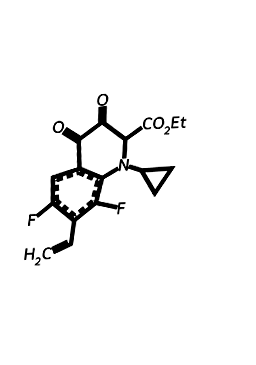 C=Cc1c(F)cc2c(c1F)N(C1CC1)C(C(=O)OCC)C(=O)C2=O